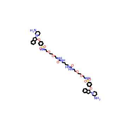 N[C@@H]1CCCN(C2Cc3ccccc3[C@@H]2Oc2ccc(S(=O)(=O)NCCOCCOCCNC(=O)NCCCCNC(=O)NCCOCCOCCNS(=O)(=O)c3ccc(O[C@H]4c5ccccc5C[C@@H]4N4CCC[C@@H](N)C4)cc3)cc2)C1